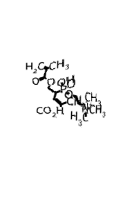 C=C(C)C(=O)OCC(C=C(C)C(=O)O)P(=O)(O)OCC[N+](C)(C)C